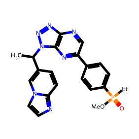 CCP(=O)(OC)c1ccc(-c2cnc3nnn(C(C)c4ccc5nccn5c4)c3n2)cc1